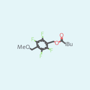 CCC(C)C(=O)OCc1c(F)c(F)c(COC)c(F)c1F